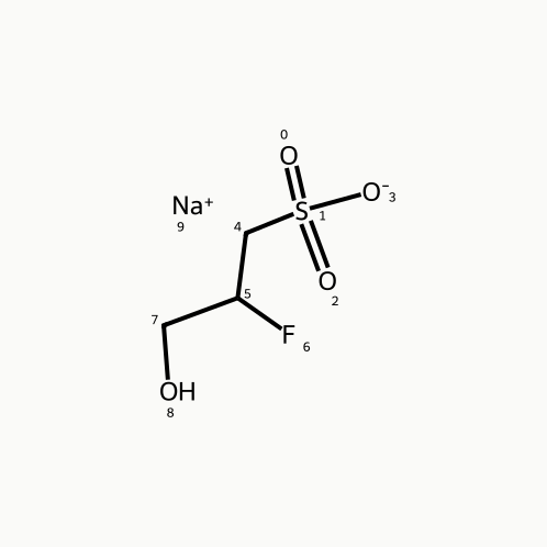 O=S(=O)([O-])CC(F)CO.[Na+]